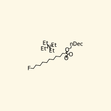 CCCCCCCCCCCOS(=O)(=O)CCCCCCCCCCF.CC[N+](CC)(CC)CC